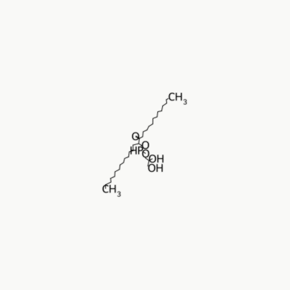 CCCCCCCCCCCCCCC(C(=O)CCCCCCCCCCCCC)C(=O)POCC(O)CO